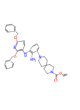 CC(C)(C)OC(=O)N1CCC2(CC1)CCN(c1cccc(Nc3ccc(OCc4ccccc4)nc3OCc3ccccc3)c1N)CC2